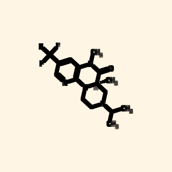 CC(C)N1CCN2c3ncc(C(F)(F)F)cc3N(C)C(=O)[C@@]2(C)C1